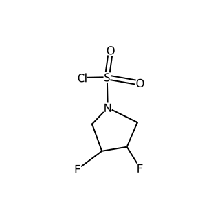 O=S(=O)(Cl)N1CC(F)C(F)C1